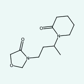 CC(CCN1COCC1=O)N1CCCCC1=O